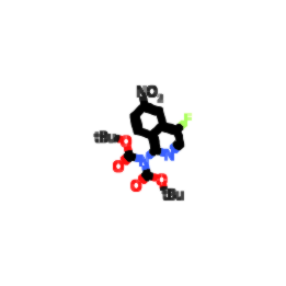 CC(C)(C)OC(=O)N(C(=O)OC(C)(C)C)c1ncc(F)c2cc([N+](=O)[O-])ccc12